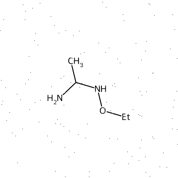 CCONC(C)N